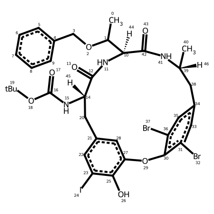 CC(OCc1ccccc1)[C@@H]1NC(=O)[C@@H](NC(=O)OC(C)(C)C)Cc2cc(I)c(O)c(c2)Oc2c(Br)cc(cc2Br)C[C@@H](C)NC1=O